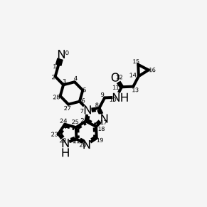 N#CCC1CCC(n2c(CNC(=O)CC3CC3)nc3cnc4[nH]ccc4c32)CC1